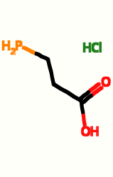 Cl.O=C(O)CCP